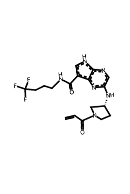 C=CC(=O)N1CC[C@@H](Nc2cnc3[nH]cc(C(=O)NCCCC(F)(F)F)c3n2)C1